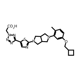 Cc1ccc(OCC2CCC2)cc1N1CC2CN(c3ncc(-c4nnn(CC(=O)O)n4)s3)CC2C1